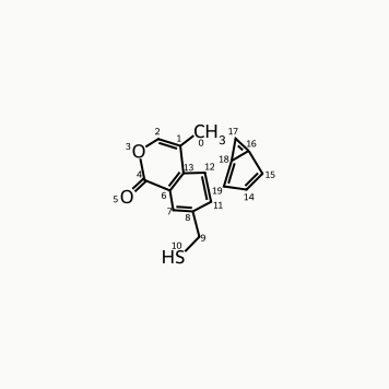 Cc1coc(=O)c2cc(CS)ccc12.c1cc2cc-2c1